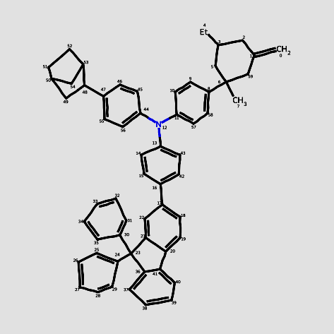 C=C1CC(CC)CC(C)(c2ccc(N(c3ccc(-c4ccc5c(c4)C(c4ccccc4)(c4ccccc4)c4ccccc4-5)cc3)c3ccc(C4CC5CCC4C5)cc3)cc2)C1